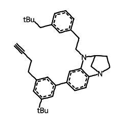 C#CCCc1cc(-c2ccc3c(c2)N(CCc2cccc(CC(C)(C)C)c2)C2CCN3C2)cc(C(C)(C)C)c1